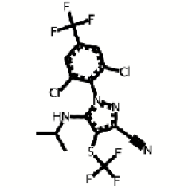 CC(C)Nc1c(SC(F)(F)F)c(C#N)nn1-c1c(Cl)cc(C(F)(F)F)cc1Cl